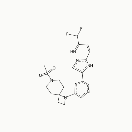 CS(=O)(=O)N1CCC2(CCN2c2cncc(-c3cnc(/C=C\C(=N)C(F)F)[nH]3)c2)CC1